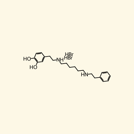 Br.Br.Oc1ccc(CCNCCCCCCNCCc2ccccc2)cc1O